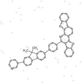 CC1(C)c2cc(-c3ccc(-c4nc5c(ccc6c7ccccc7oc65)c5oc6ccccc6c45)cc3)ccc2-c2ccc(-c3cccnc3)cc21